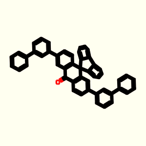 O=C1c2cc(-c3cccc(-c4ccccc4)c3)ccc2C2(c3cc(-c4cccc(-c5ccccc5)c4)ccc31)c1ccccc1-c1ccccc12